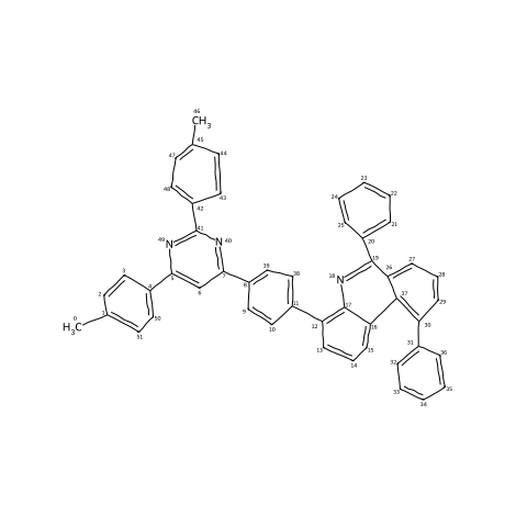 Cc1ccc(-c2cc(-c3ccc(-c4cccc5c4nc(-c4ccccc4)c4cccc(-c6ccccc6)c45)cc3)nc(-c3ccc(C)cc3)n2)cc1